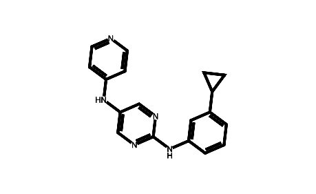 c1cc(Nc2ncc(Nc3ccncc3)cn2)cc(C2CC2)c1